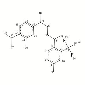 Cc1ccc(C(C)CCC(C)c2ccc(C(C)C)c(C)c2)c(C(F)(F)F)c1